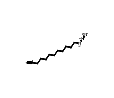 C#CCCCCCCCCCCN=[N+]=[N-]